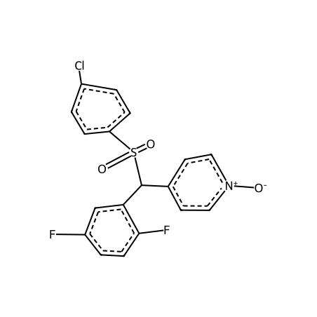 O=S(=O)(c1ccc(Cl)cc1)C(c1cc[n+]([O-])cc1)c1cc(F)ccc1F